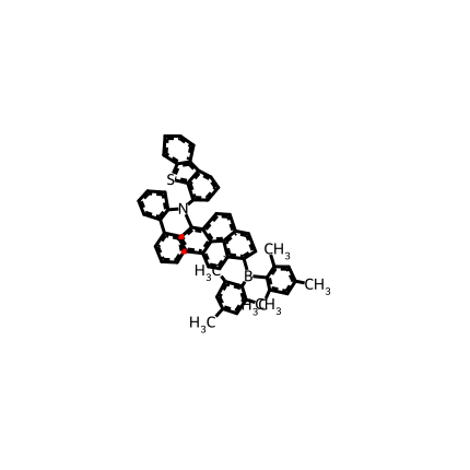 Cc1cc(C)c(B(c2c(C)cc(C)cc2C)c2ccc3ccc4c(N(c5ccccc5-c5ccccc5)c5cccc6c5sc5ccccc56)ccc5ccc2c3c54)c(C)c1